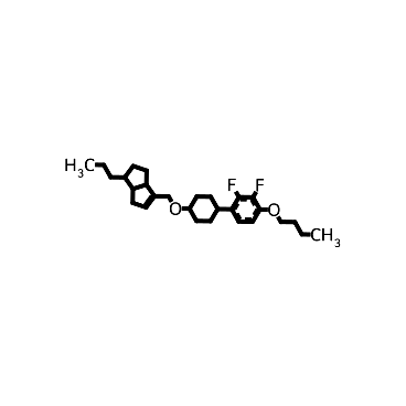 CCCCOc1ccc(C2CCC(OCC3=CCC4C(CCC)CCC34)CC2)c(F)c1F